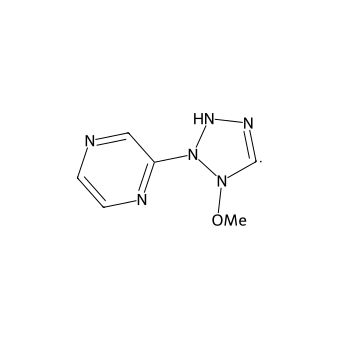 CON1[C]=NNN1c1cnccn1